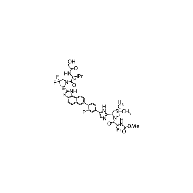 COC(=O)N[C@H](C(=O)N1C[Si](C)(C)CC1c1ncc(-c2ccc(-c3ccc4c(ccc5nc([C@@H]6CC(F)(F)CN6C(=O)[C@@H](NC(=O)CO)C(C)C)[nH]c54)c3)c(F)c2)[nH]1)C(C)C